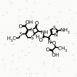 CCSC1=C(C(=O)O)N2C(=O)C(NC(=O)/C(=N/OC(C)C(=O)O)c3csc(N)n3)[C@H]2SC1